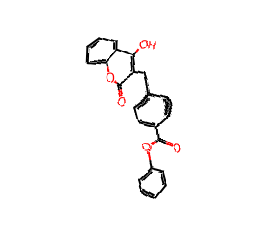 O=C(Oc1ccccc1)c1ccc(Cc2c(O)c3ccccc3oc2=O)cc1